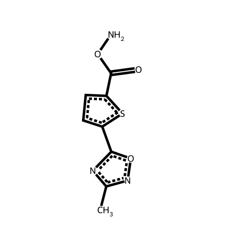 Cc1noc(-c2ccc(C(=O)ON)s2)n1